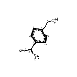 CCCC(CC)c1ccc(CO)cc1